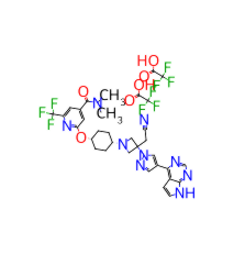 CN(C)C(=O)c1cc(O[C@H]2CC[C@@H](N3CC(CC#N)(n4cc(-c5ncnc6[nH]ccc56)cn4)C3)CC2)nc(C(F)(F)F)c1.O=C(O)C(F)(F)F.O=C(O)C(F)(F)F